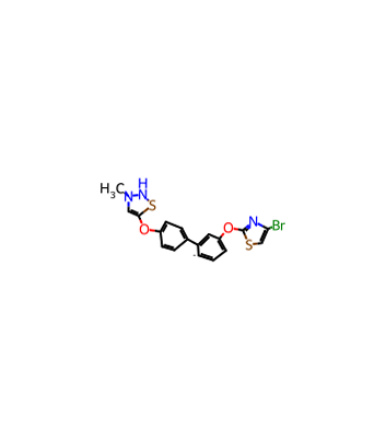 CN1C=C(Oc2ccc(-c3[c]ccc(Oc4nc(Br)cs4)c3)cc2)SN1